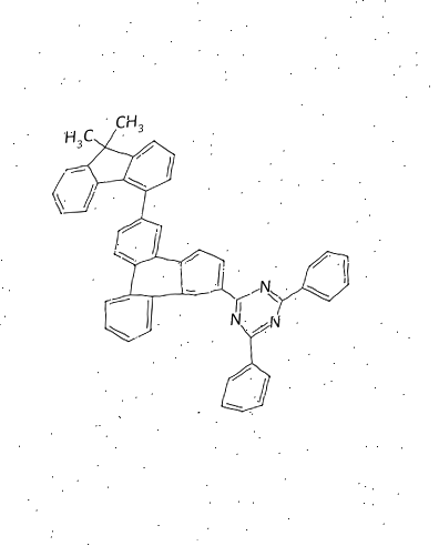 CC1(C)c2ccccc2-c2c(-c3ccc4c5ccccc5c5cc(-c6nc(-c7ccccc7)nc(-c7ccccc7)n6)ccc5c4c3)cccc21